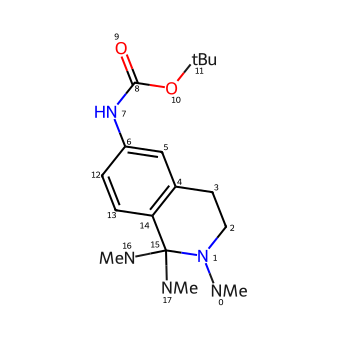 CNN1CCc2cc(NC(=O)OC(C)(C)C)ccc2C1(NC)NC